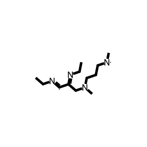 CCN=C(/[C]=N/CC)CN(C)CCC[N]C